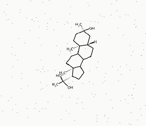 CC(O)(O)[C@H]1CCC2C3CC[C@H]4C[C@](C)(O)CC[C@]4(C)C3CC[C@@]21C